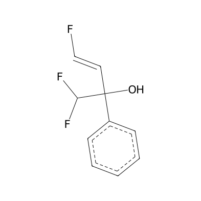 OC(C=CF)(c1ccccc1)C(F)F